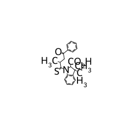 CC(CC(=O)c1ccccc1)C(=S)N1c2ccccc2C(C)(C)C1C(=O)O